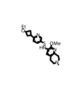 CCOC1CC(c2ccc(SNc3cc4c(nc3OC)CCN(C)CC4)cn2)C1